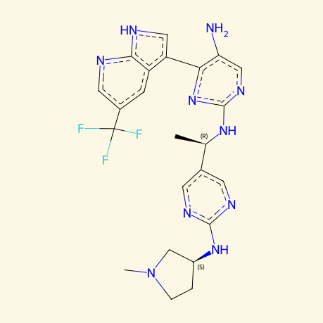 C[C@@H](Nc1ncc(N)c(-c2c[nH]c3ncc(C(F)(F)F)cc23)n1)c1cnc(N[C@H]2CCN(C)C2)nc1